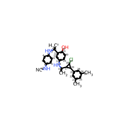 C=C(Nc1ccc(NC#N)cc1)c1cc(NC(=C)C2C(Cl)C2c2cc(C)cc(C)c2)ccc1O